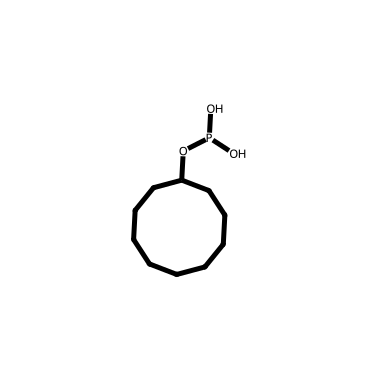 OP(O)OC1CCCCCCCCC1